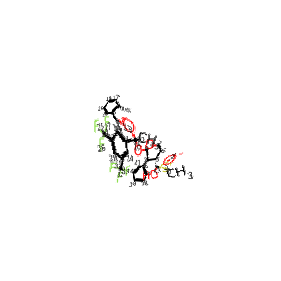 C[S+]([O-])C(O)[C@H]1CCOC(OC(C)(OCc2ccccc2)c2cc(C(F)(F)F)cc(C(F)(F)F)c2)[C@@H]1c1ccccc1